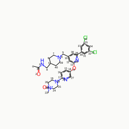 CC(=O)NCC1CCN(Cc2cc(Oc3ccc(N4CC[N+](C)([O-])CC4)nc3)nc(-c3cc(Cl)cc(Cl)c3)c2)CC1